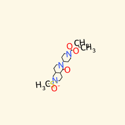 CC(C)OC(=O)N1CCC(N2CCC3CN([S+](C)[O-])CCC3C2=O)CC1